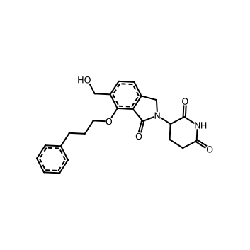 O=C1CCC(N2Cc3ccc(CO)c(OCCCc4ccccc4)c3C2=O)C(=O)N1